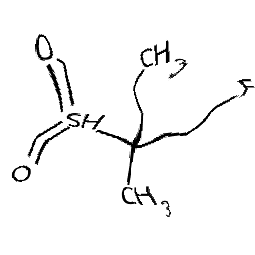 CC(C)(CF)[SH](=O)=O